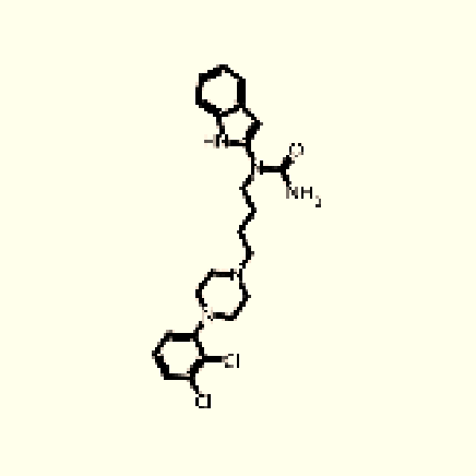 NC(=O)N(CCCCN1CCN(c2cccc(Cl)c2Cl)CC1)c1cc2ccccc2[nH]1